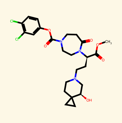 COC(=O)[C@@H](CCN1CCC2(CC2)[C@H](O)C1)N1CCN(C(=O)Oc2ccc(Cl)c(Cl)c2)CCC1=O